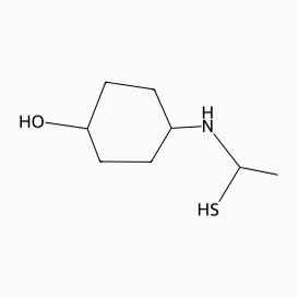 CC(S)NC1CCC(O)CC1